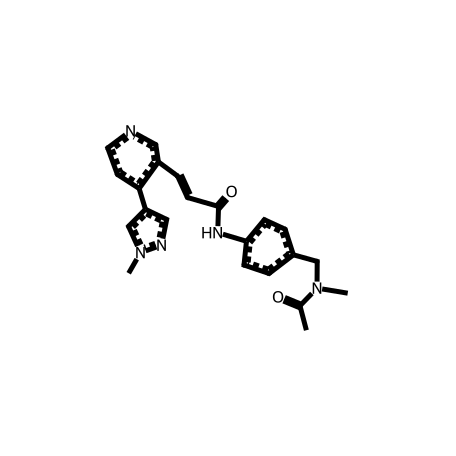 CC(=O)N(C)Cc1ccc(NC(=O)C=Cc2cnccc2-c2cnn(C)c2)cc1